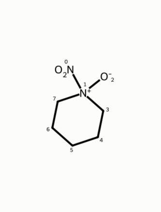 O=[N+]([O-])[N+]1([O-])CCCCC1